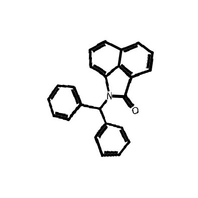 O=C1c2cccc3cccc(c23)N1C(c1ccccc1)c1ccccc1